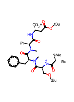 CC[C@H](C)[C@H](NC)C(=O)N[C@@H](COC(C)(C)C)C(=O)N(C)[C@@H](Cc1ccccc1)C(=O)N(C)[C@H](C(=O)N[C@@H](CC(=O)OC(C)(C)C)C(=O)O)C(C)C